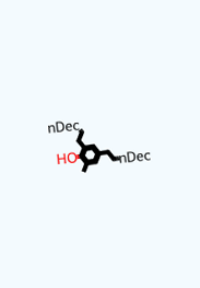 CCCCCCCCCCCCc1cc(C)c(O)c(CCCCCCCCCCCC)c1